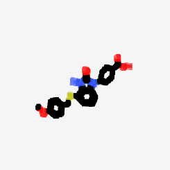 COc1ccc(CSc2cccc3c2[nH]c(=O)n3C2CCC(C(=O)O)CC2)cc1